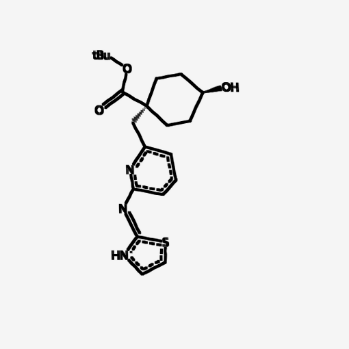 CC(C)(C)OC(=O)[C@]1(Cc2cccc(/N=c3/[nH]ccs3)n2)CC[C@H](O)CC1